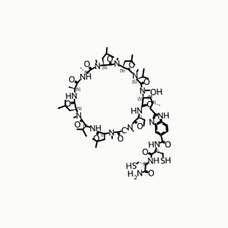 CC[C@@H]1NC(=O)[C@H]([C@H](O)[C@H](C)Cc2nc3cc(C(=O)N[C@@H](CS)C(=O)N[C@@H](CS)C(N)=O)ccc3[nH]2)N(C)C(=O)[C@H](C(C)C)N(C)C(=O)[C@H](CC(C)C)N(C)C(=O)[C@H](CC(C)C)N(C)C(=O)[C@@H](C)NC(=O)[C@H](C)NC(=O)[C@H](CC(C)C)N(C)C(=O)[C@H](C(C)C)NC(=O)[C@H](CC(C)C)N(C)C(=O)CN(C)C1=O